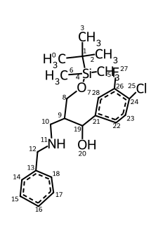 CC(C)(C)[Si](C)(C)OCC(CNCc1ccccc1)C(O)c1ccc(Cl)c(F)c1